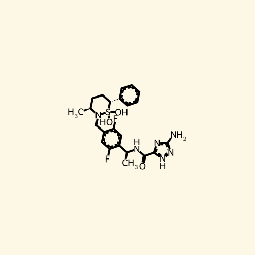 CC(NC(=O)c1nc(N)n[nH]1)c1cc(F)c(CN2[C@@H](C)CC[C@H](c3ccccc3)S2(O)O)cc1F